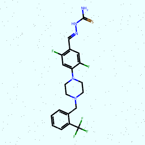 NC(=S)N/N=C/c1cc(F)c(N2CCN(Cc3ccccc3C(F)(F)F)CC2)cc1F